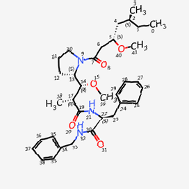 CC[C@H](C)C[C@@H](CC(=O)N1CCC[C@H]1[C@H](OC)[C@@H](C)C(=O)N[C@@H](Cc1ccccc1)C(=O)NCc1ccccc1)OC